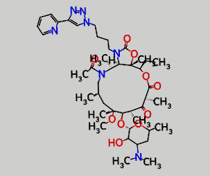 CC[C@H]1OC(=O)[C@H](C)C(=O)[C@H](C)[C@@H](O[C@@H]2OC(C)CC(N(C)C)C2O)[C@](C)(OC)C[C@@H](C)CN(C(C)=O)[C@H](C)[C@H]2N(CCCCn3cc(-c4ccccn4)nn3)C(=O)O[C@]12C